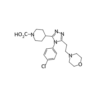 O=C(O)N1CCC(c2nnc(CCN3CCOCC3)n2-c2ccc(Cl)cc2)CC1